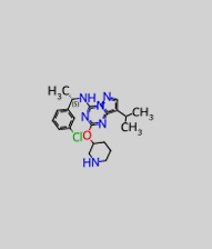 CC(C)c1cnn2c(N[C@@H](C)c3cccc(Cl)c3)nc(OC3CCCNC3)nc12